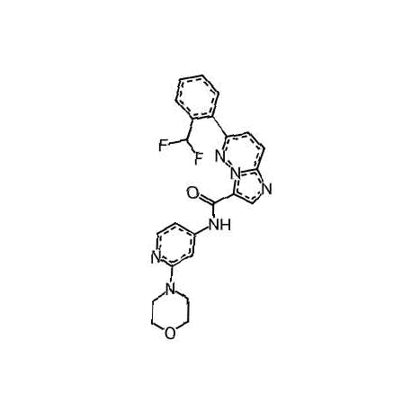 O=C(Nc1ccnc(N2CCOCC2)c1)c1cnc2ccc(-c3ccccc3C(F)F)nn12